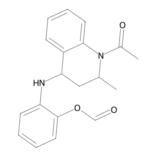 CC(=O)N1c2ccccc2C(Nc2ccccc2OC=O)CC1C